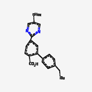 CCCCCCc1cnc(-c2ccc(C(=O)O)c(-c3ccc(CC(C)CC)cc3)c2)nc1